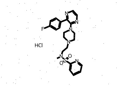 CN(CCN1CCN(c2nccnc2-c2ccc(F)cc2)CC1)S(=O)(=O)c1ccccn1.Cl